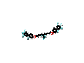 Fc1cc(OCCCCCC(CCCCCOc2ccc(-c3cc(F)c(F)c(F)c3)c(F)c2)C(F)(F)F)ccc1-c1cc(F)c(F)c(F)c1